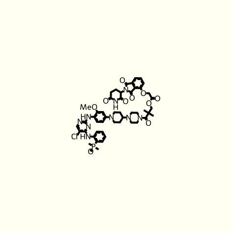 COc1cc(N2CCC(N3CCN(C(=O)C(C)(C)COC(=O)COc4cccc5c4C(=O)N(C4CCC(=O)NC4=O)C5=O)CC3)CC2)ccc1Nc1ncc(Cl)c(Nc2ccccc2P(C)(C)=O)n1